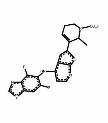 CC1C(c2cc3c(Nc4c(F)cc5scnc5c4F)ccnc3s2)=CCCN1C(=O)O